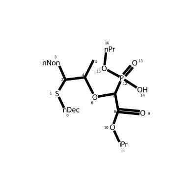 CCCCCCCCCCSC(CCCCCCCCC)C(C)OC(C(=O)OC(C)C)P(=O)(O)OCCC